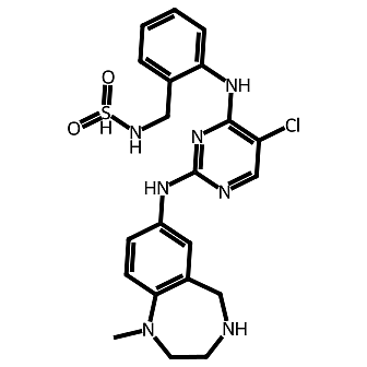 CN1CCNCc2cc(Nc3ncc(Cl)c(Nc4ccccc4CN[SH](=O)=O)n3)ccc21